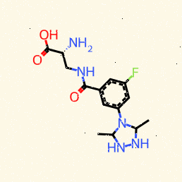 CC1NNC(C)N1c1cc(F)cc(C(=O)NC[C@@H](N)C(=O)O)c1